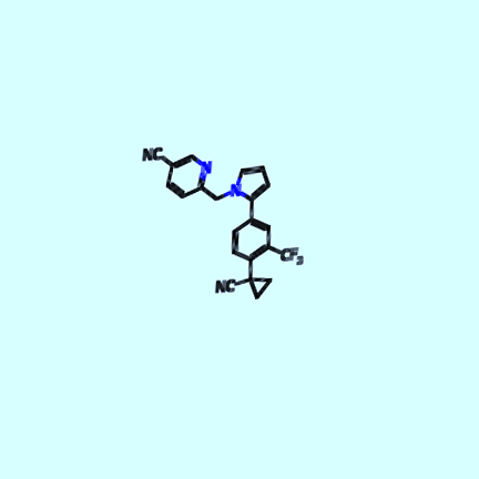 N#Cc1ccc(Cn2cccc2-c2ccc(C3(C#N)CC3)c(C(F)(F)F)c2)nc1